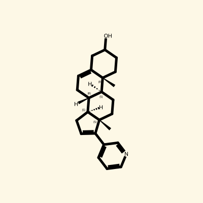 C[C@]12CCC(O)CC1=CC[C@@H]1[C@@H]2CC[C@]2(C)C(c3cccnc3)=CC[C@@H]12